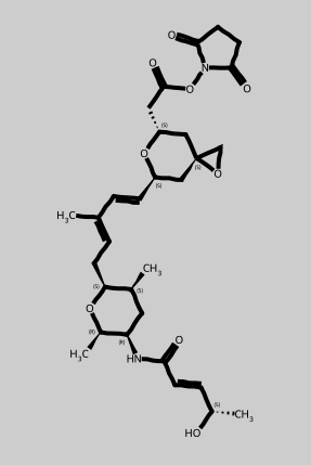 CC(C=C[C@@H]1C[C@]2(CO2)C[C@@H](CC(=O)ON2C(=O)CCC2=O)O1)=CC[C@@H]1O[C@H](C)[C@H](NC(=O)C=C[C@H](C)O)C[C@@H]1C